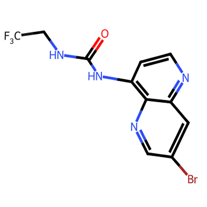 O=C(NCC(F)(F)F)Nc1ccnc2cc(Br)cnc12